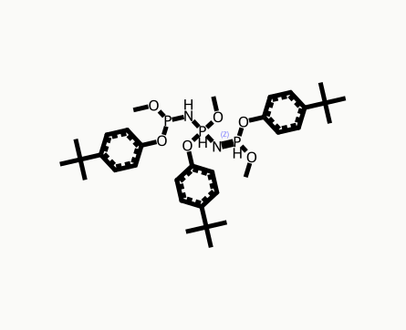 COP(N[PH](/N=[PH](/OC)Oc1ccc(C(C)(C)C)cc1)(OC)Oc1ccc(C(C)(C)C)cc1)Oc1ccc(C(C)(C)C)cc1